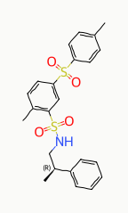 Cc1ccc(S(=O)(=O)c2ccc(C)c(S(=O)(=O)NC[C@H](C)c3ccccc3)c2)cc1